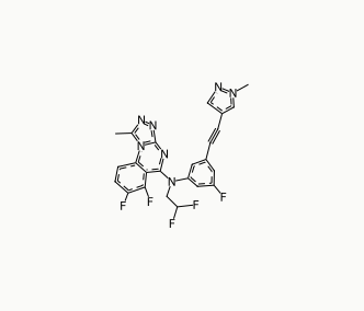 Cc1nnc2nc(N(CC(F)F)c3cc(F)cc(C#Cc4cnn(C)c4)c3)c3c(F)c(F)ccc3n12